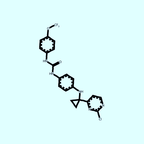 O=C(Nc1ccc(NC2(c3ccnc(Cl)n3)CC2)cc1)Nc1ccc(OC(F)(F)F)cc1